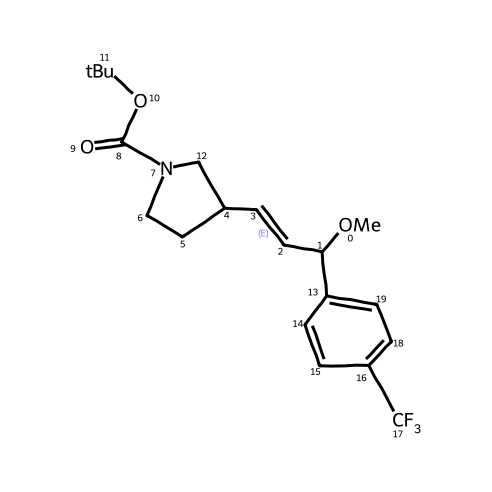 COC(/C=C/C1CCN(C(=O)OC(C)(C)C)C1)c1ccc(C(F)(F)F)cc1